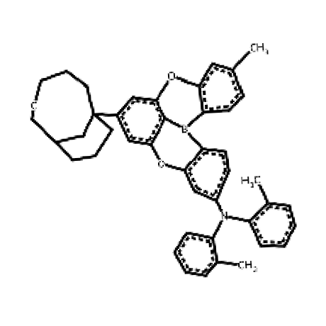 Cc1ccc2c(c1)Oc1cc(C34CCCCCC(CCC3)C4)cc3c1B2c1ccc(N(c2ccccc2C)c2ccccc2C)cc1O3